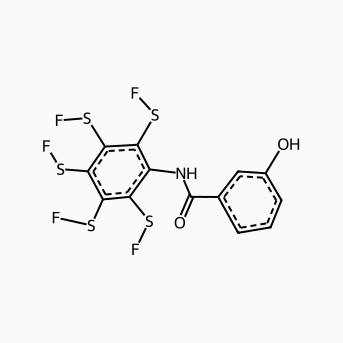 O=C(Nc1c(SF)c(SF)c(SF)c(SF)c1SF)c1cccc(O)c1